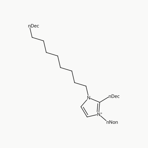 CCCCCCCCCCCCCCCCCCn1cc[n+](CCCCCCCCC)c1CCCCCCCCCC